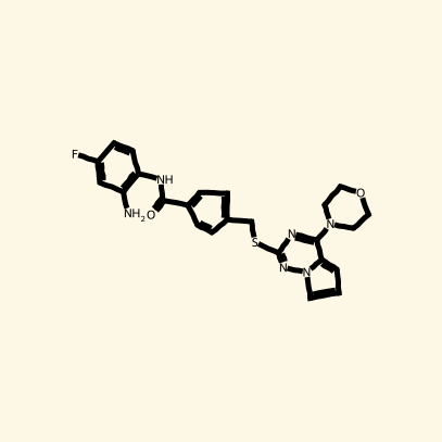 Nc1cc(F)ccc1NC(=O)c1ccc(CSc2nc(N3CCOCC3)c3cccn3n2)cc1